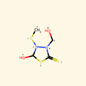 CSN1C(O)SC(=S)N1CO